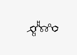 Cc1ccc(NC(=O)CC(=O)Oc2ccccc2)cc1Cl